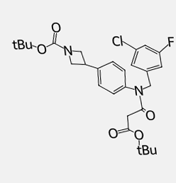 CC(C)(C)OC(=O)CC(=O)N(Cc1cc(F)cc(Cl)c1)c1ccc(C2CN(C(=O)OC(C)(C)C)C2)cc1